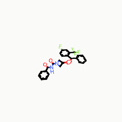 O=C(NC(=O)N1CC(OC(c2ccccc2)c2ccc(F)cc2C(F)(F)F)C1)c1ccccc1